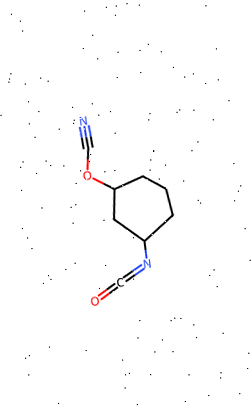 N#COC1CCCC(N=C=O)C1